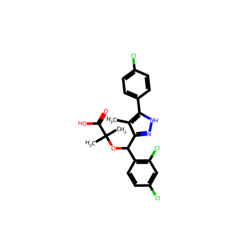 Cc1c(C(OC(C)(C)C(=O)O)c2ccc(Cl)cc2Cl)n[nH]c1-c1ccc(Cl)cc1